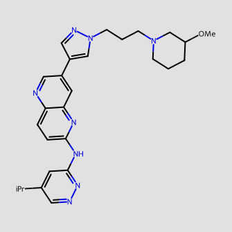 COC1CCCN(CCCn2cc(-c3cnc4ccc(Nc5cc(C(C)C)cnn5)nc4c3)cn2)C1